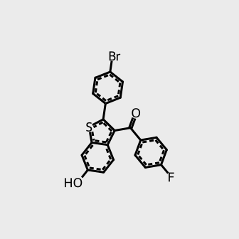 O=C(c1ccc(F)cc1)c1c(-c2ccc(Br)cc2)sc2cc(O)ccc12